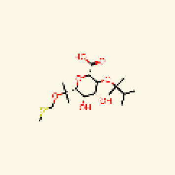 CSCOC(C)(C)[C@@H]1O[C@H](C(=O)O)[C@@H](OC(C)(C)C(C)C)[C@H](O)[C@@H]1O